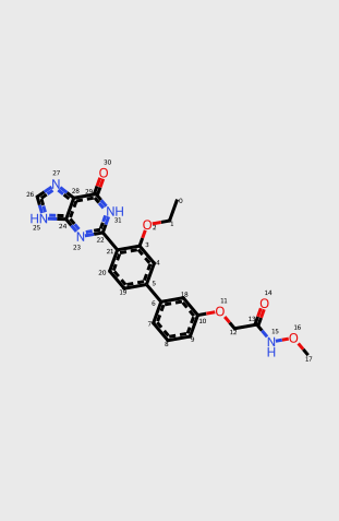 CCOc1cc(-c2cccc(OCC(=O)NOC)c2)ccc1-c1nc2[nH]cnc2c(=O)[nH]1